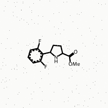 COC(=O)C1CCC(c2c(F)cccc2F)N1